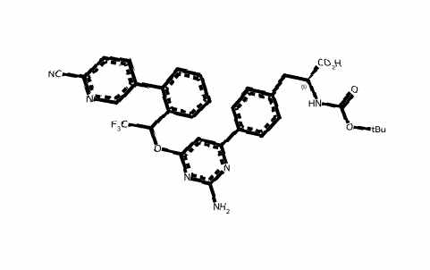 CC(C)(C)OC(=O)N[C@@H](Cc1ccc(-c2cc(OC(c3ccccc3-c3ccc(C#N)nc3)C(F)(F)F)nc(N)n2)cc1)C(=O)O